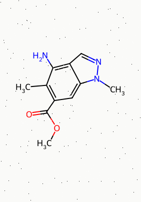 COC(=O)c1cc2c(cnn2C)c(N)c1C